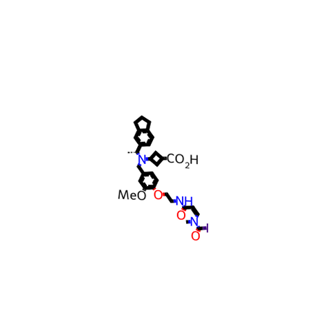 COc1cc(CN(C2CC(C(=O)O)C2)[C@H](C)c2ccc3c(c2)CCC3)ccc1OCCNC(=O)/C=C\N(C)C(=O)I